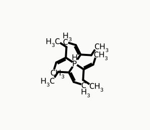 C/C=C(/CC)[PH](/C(=C\C)CC)(/C(=C\C)CC)/C(=C\C)CC